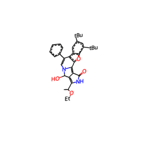 CCOC(C)C1=C2C(=C3c4oc5c(C(C)(C)C)cc(C(C)(C)C)cc5c4C(c4ccccc4)=CN3C2O)C(=O)N1